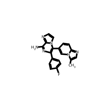 Cc1cnc2ccc(-c3c(-c4ccc(F)cc4)nc(N)c4nccn34)cn12